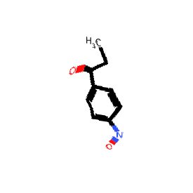 CCC(=O)c1ccc(N=O)cc1